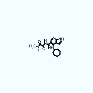 CNC(=O)C(=O)Nc1nn(C2CCCCCC2)c2c1cnc1[nH]ccc12